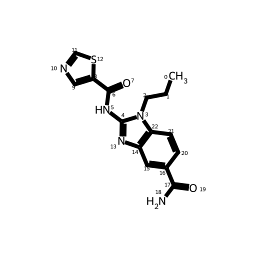 CCCn1c(NC(=O)c2cncs2)nc2cc(C(N)=O)ccc21